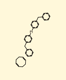 C1=CCCC=CCC1.c1ccc(Cc2cc[c]([Pt][c]3ccc(Cc4ccccc4)cc3)cc2)cc1